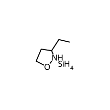 CCC1CCON1.[SiH4]